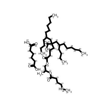 CCCCCCC(CCCC)CC(CCCC(=O)OCC(C)OC(=O)CCCNC)(CC(CCCC)CCCCCC)C(=O)O.O=C(O)CCCCC(=O)O